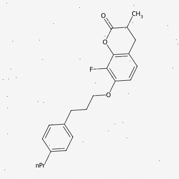 CCCc1ccc(CCCOc2ccc3c(c2F)OC(=O)C(C)C3)cc1